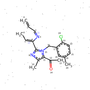 C=C/C=N\C(=C/C)c1nc(C)c(C(C)=O)n1Cc1cc(C)ccc1Cl